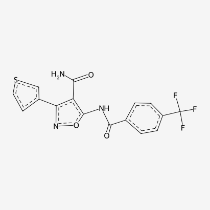 NC(=O)c1c(-c2ccsc2)noc1NC(=O)c1ccc(C(F)(F)F)cc1